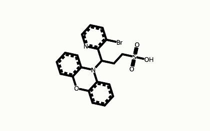 O=S(=O)(O)CCC(c1ncccc1Br)N1c2ccccc2Oc2ccccc21